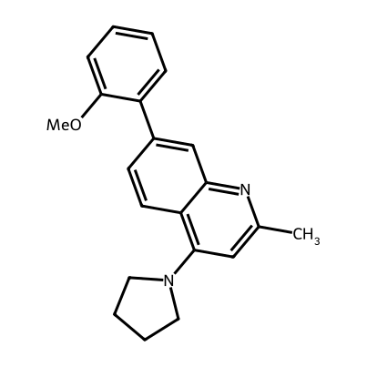 COc1ccccc1-c1ccc2c(N3CCCC3)cc(C)nc2c1